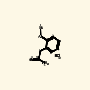 CCOc1ccccc1CC(=N)N.Cl